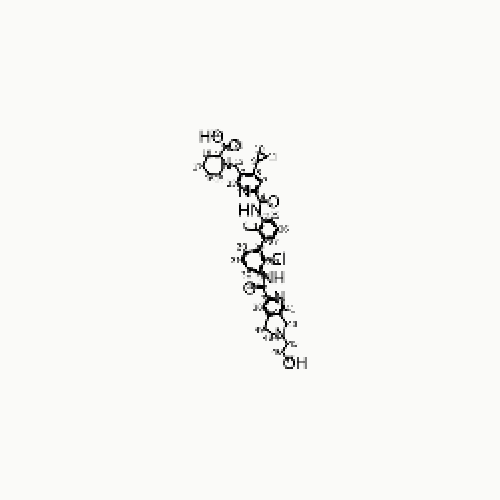 Cc1c(NC(=O)c2cc(C3CC3)c(CN3CCCC[C@H]3C(=O)O)cn2)cccc1-c1cccc(NC(=O)c2cc3c(cn2)CN(CCO)CC3)c1Cl